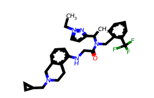 CCn1ccc(C(C)N(Cc2ccccc2C(F)(F)F)C(=O)CNc2cccc3c2CCN(CC2CC2)C3)n1